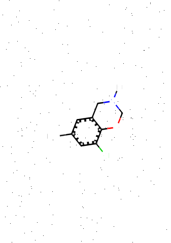 CCN1COc2c(Cl)cc(C(F)(F)F)cc2C1